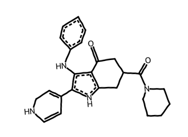 O=C1CC(C(=O)N2CCCCC2)Cc2[nH]c(C3=CCNC=C3)c(Nc3ccccc3)c21